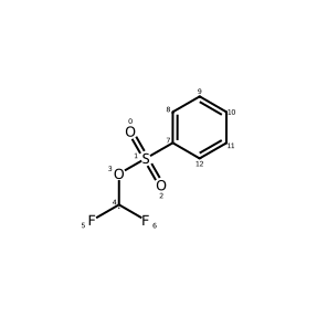 O=S(=O)(O[C](F)F)c1ccccc1